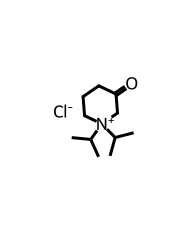 CC(C)[N+]1(C(C)C)CCCC(=O)C1.[Cl-]